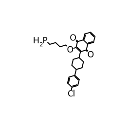 O=C1C(OCCCCP)=C(C2CCC(c3ccc(Cl)cc3)CC2)C(=O)c2ccccc21